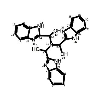 OC(c1nc2ccccc2[nH]1)N(C(O)c1nc2ccccc2[nH]1)C(O)c1nc2ccccc2[nH]1